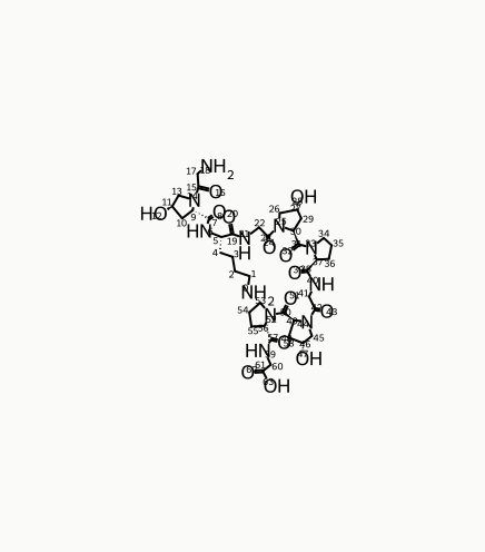 NCCCC[C@H](NC(=O)[C@@H]1C[C@@H](O)CN1C(=O)CN)C(=O)NCC(=O)N1C[C@H](O)C[C@H]1C(=O)N1CCC[C@H]1C(=O)NCC(=O)N1C[C@H](O)C[C@H]1C(=O)N1CCC[C@H]1C(=O)NCC(=O)O